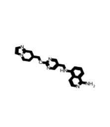 Nc1nccc2c(NCc3cnc(OCC4CCn5ccnc5C4)nc3)cccc12